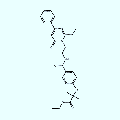 CCOC(=O)C(C)(C)Oc1ccc(C(=O)NCCn2c(CC)nc(-c3ccccc3)cc2=O)cc1